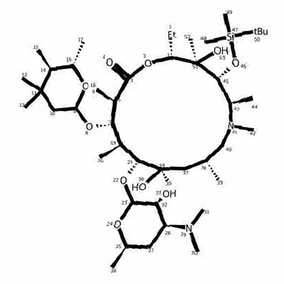 CC[C@H]1OC(=O)[C@H](C)[C@@H](OC2CC(C)(C)[C@@H](C)[C@H](C)O2)[C@H](C)[C@@H](OC2O[C@H](C)C[C@H](N(C)C)[C@H]2O)[C@](C)(O)C[C@@H](C)CN(C)[C@H](C)[C@@H](O[Si](C)(C)C(C)(C)C)[C@]1(C)O